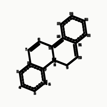 C1=Cc2cccnc2N2CC=c3ccccc3=C12